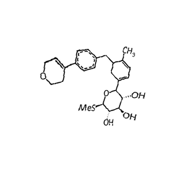 CS[C@H]1OC(C2=CC=C(C)C(Cc3ccc(C4=CCOCC4)cc3)C2)[C@H](O)[C@@H](O)[C@@H]1O